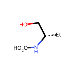 CC[C@@H](CO)NC(=O)O